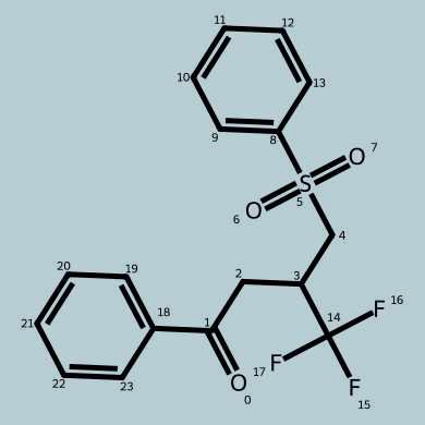 O=C(CC(CS(=O)(=O)c1ccccc1)C(F)(F)F)c1ccccc1